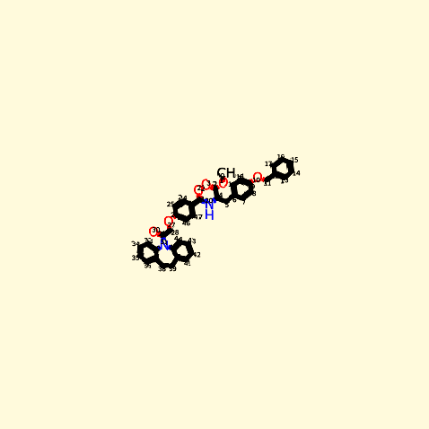 COC(=O)C(Cc1ccc(OCc2ccccc2)cc1)NC(=O)c1ccc(OCC(=O)N2c3ccccc3CCc3ccccc32)cc1